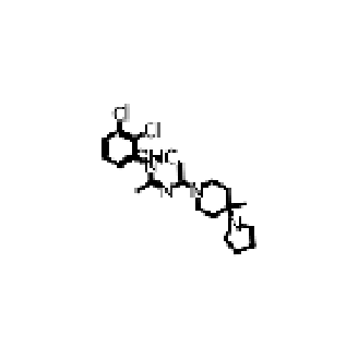 C/C(=N/C(=C\C=O)N1CCC(C)(N2CCCC2)CC1)N(C)c1cccc(Cl)c1Cl